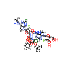 CCC(CC)COC(=O)[C@H](C)NP(=O)(OC[C@H]1O[C@@H](n2ccc3c(NC4CC4)nc(Cl)nc32)C(F)C1OONc1nc(Cl)nc2c1ccn2[C@@H]1O[C@H](CO)C(O)C1F)Oc1ccccc1